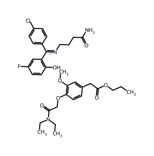 CCCOC(=O)Cc1ccc(OCC(=O)N(CC)CC)c(OC)c1.NC(=O)CCC/N=C(\c1ccc(Cl)cc1)c1cc(F)ccc1O